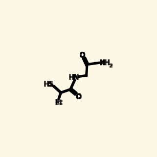 CCC(S)C(=O)NCC(N)=O